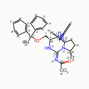 C=C1N[C@H]2[C@H](CO[Si](c3ccccc3)(c3ccccc3)C(C)(C)C)N/C(=N/C(=O)C(Cl)(Cl)Cl)N3[C@H](CC)CCC23N1